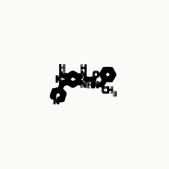 C[C@@H](NC(=O)c1nc2cc3c(-c4ccncc4)n[nH]c3cc2[nH]1)c1ccccc1